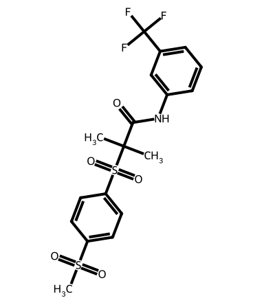 CC(C)(C(=O)Nc1cccc(C(F)(F)F)c1)S(=O)(=O)c1ccc(S(C)(=O)=O)cc1